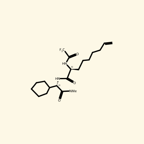 C=CCCCCC[C@H](NC(=O)C(F)(F)F)C(=O)N[C@H](C(=O)NC)C1CCCCC1